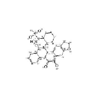 CS(=O)(=O)N(N)C1CCCCC1N1C(=O)c2ccccc2C(C(=O)N=O)C1c1ccc2c(c1)CCO2